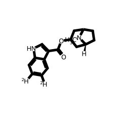 [2H]c1cc2[nH]cc(C(=O)OC3CC4CC[C@H](C3)N4C)c2cc1[2H]